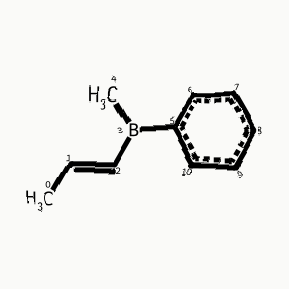 C/C=C/B(C)c1ccccc1